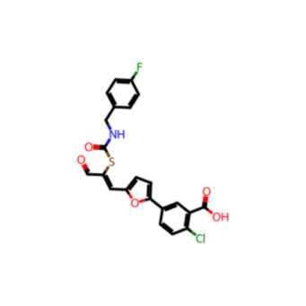 O=C/C(=C/c1ccc(-c2ccc(Cl)c(C(=O)O)c2)o1)SC(=O)NCc1ccc(F)cc1